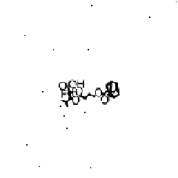 CC(C)C(OC(=O)CCCOC(=O)C12CC3CC(CC(C3)C1)C2)C(F)(F)C(=O)O